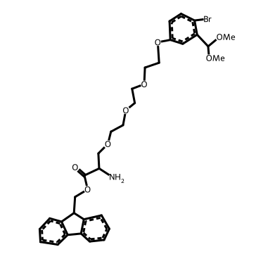 COC(OC)c1cc(OCCOCCOCCOCC(N)C(=O)OCC2c3ccccc3-c3ccccc32)ccc1Br